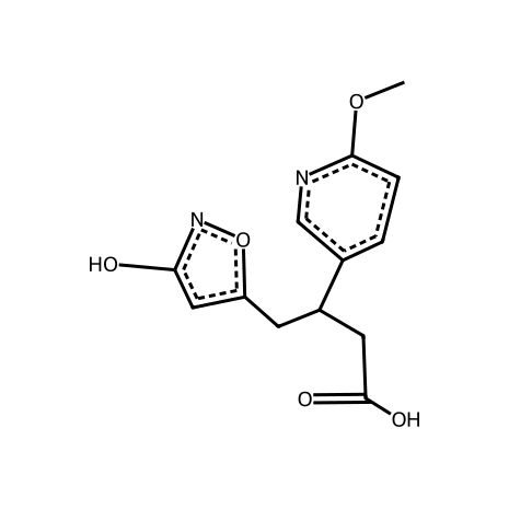 COc1ccc(C(CC(=O)O)Cc2cc(O)no2)cn1